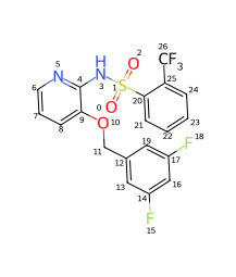 O=S(=O)(Nc1ncccc1OCc1cc(F)cc(F)c1)c1ccccc1C(F)(F)F